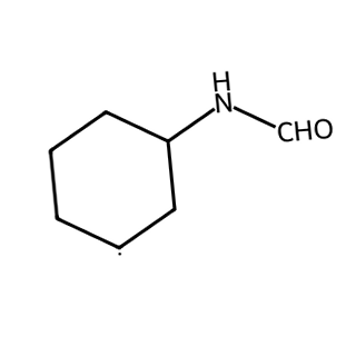 O=CNC1C[CH]CCC1